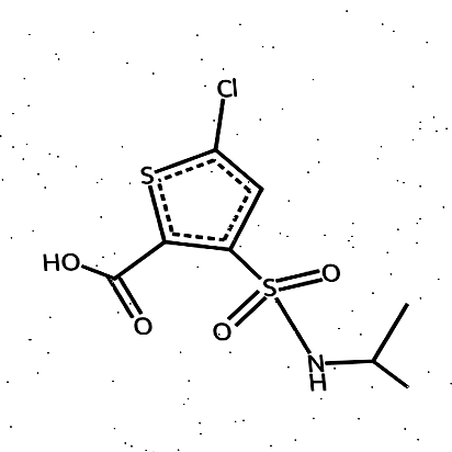 CC(C)NS(=O)(=O)c1cc(Cl)sc1C(=O)O